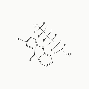 O=C(O)C(F)(F)C(F)(F)C(F)(F)C(F)(F)C(F)(F)C(F)(F)C(F)(F)F.S=c1c2ccccc2oc2ccc(S)cc12